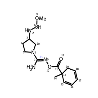 COBNC1CCN(/C(N)=N/OC(=O)C2(C)C=CC=CC2)C1